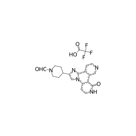 O=C(O)C(F)(F)F.O=CN1CCC(c2cn3c4cc[nH]c(=O)c4c4cnccc4c3n2)CC1